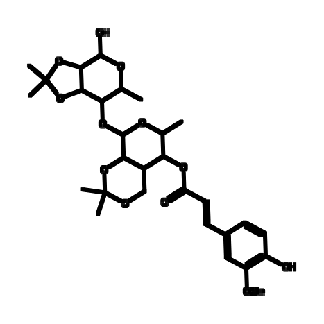 COc1cc(/C=C/C(=O)OC2C(C)OC(OC3C(C)OC(O)C4OC(C)(C)OC34)C3OC(C)(C)OCC23)ccc1O